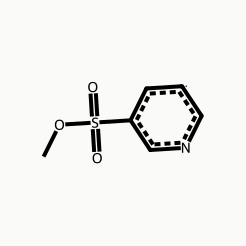 COS(=O)(=O)c1c[c]cnc1